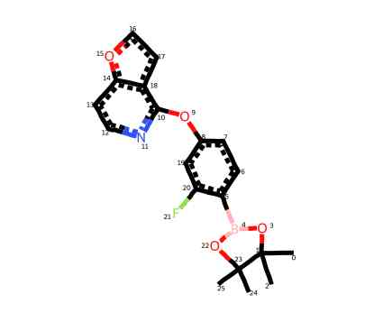 CC1(C)OB(c2ccc(Oc3nccc4occc34)cc2F)OC1(C)C